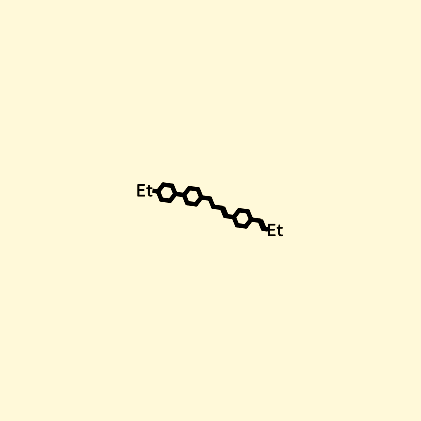 CCC=CC1CCC(C=CCCC2CCC(C3CCC(CC)CC3)CC2)CC1